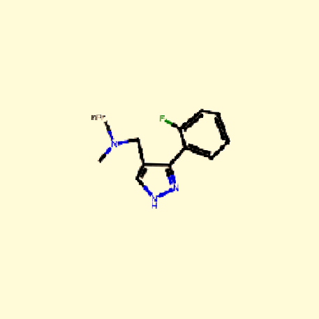 CCCN(C)Cc1c[nH]nc1-c1ccccc1F